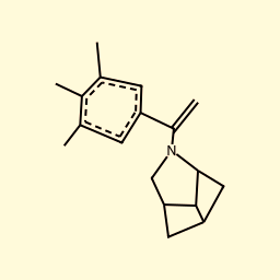 C=C(c1cc(C)c(C)c(C)c1)N1CC2CC3CC1C32